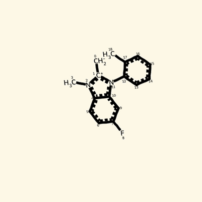 [CH2-][c+]1n(C)c2ccc(F)cc2n1-c1ccccc1C